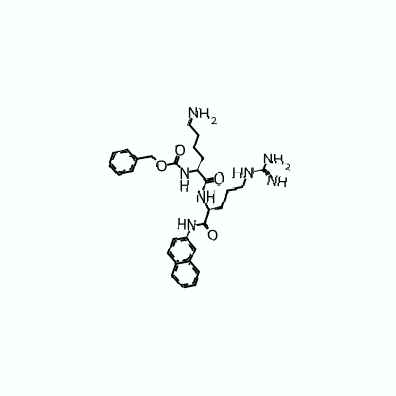 N=C(N)NCCC[C@H](NC(=O)[C@H](CCCCN)NC(=O)OCc1ccccc1)C(=O)Nc1ccc2ccccc2c1